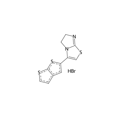 Br.C1=C(c2cc3ccsc3s2)N2CCN=C2S1